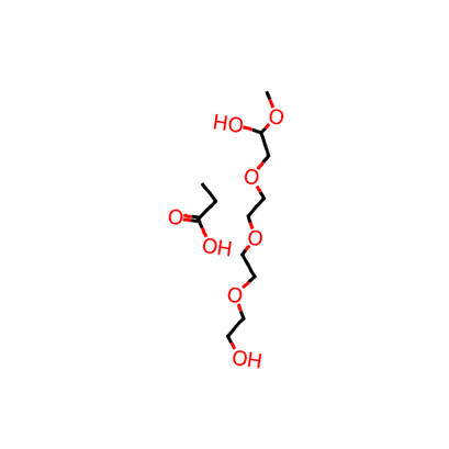 CCC(=O)O.COC(O)COCCOCCOCCO